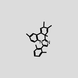 CC1=CC2(C)C(=CC1C)c1cc(C)ccc1-n1c(-c3c(C)cccc3C)cnc12